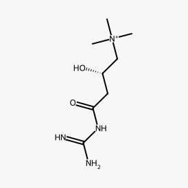 C[N+](C)(C)C[C@@H](O)CC(=O)NC(=N)N